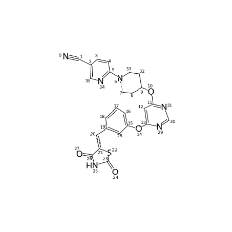 N#Cc1ccc(N2CCC(Oc3cc(Oc4cccc(/C=C5\SC(=O)NC5=O)c4)ncn3)CC2)nc1